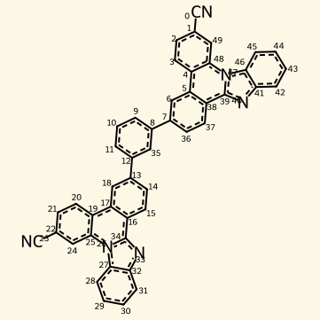 N#Cc1ccc2c3cc(-c4cccc(-c5ccc6c(c5)c5ccc(C#N)cc5n5c7ccccc7nc65)c4)ccc3c3nc4ccccc4n3c2c1